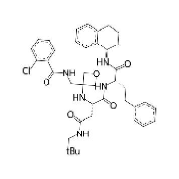 CC(C)(C)CNC(=O)C[C@H](NC1(CNC(=O)c2ccccc2Cl)COC1)C(=O)N[C@@H](CCc1ccccc1)C(=O)N[C@@H]1CCCc2ccccc21